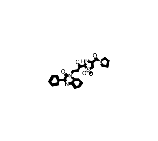 O=C(CCn1c(=O)c(-c2ccccc2)nc2ccccc21)C1NC(C(=O)N2CCCC2)CS1(=O)=O